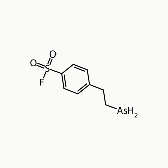 O=S(=O)(F)c1ccc(CC[AsH2])cc1